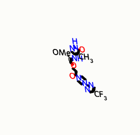 COC[C@@H](COCCC(=O)N1CCN(c2ncc(C(F)(F)F)cn2)CC1)Nc1cn[nH]c(=O)c1C